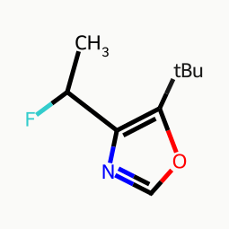 CC(F)c1ncoc1C(C)(C)C